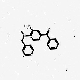 CN(Cc1ccccc1)c1ccc(C(=O)c2ccccc2)cc1N